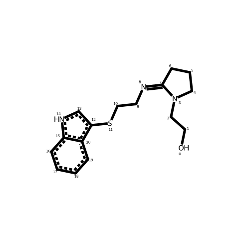 OCCN1CCCC1=NCCSc1c[nH]c2ccccc12